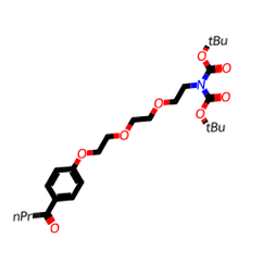 CCCC(=O)c1ccc(OCCOCCOCCN(C(=O)OC(C)(C)C)C(=O)OC(C)(C)C)cc1